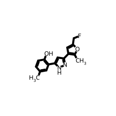 Cc1ccc(O)c(-c2cc(-c3cc(CF)oc3C)n[nH]2)c1